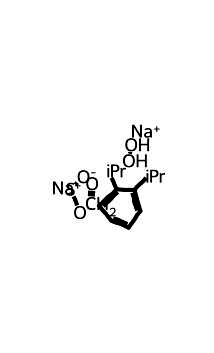 C=O.CC(C)c1ccccc1C(C)C.OO.[Na+].[Na+].[O-]S[O-]